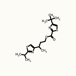 CC(C)c1nc(C(C)CCOC(=O)c2nc(C(C)(C)C)cs2)cs1